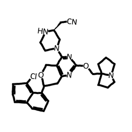 N#CC[C@H]1CN(c2nc(OCC34CCCN3CCC4)nc3c2COC(c2cccc4cccc(Cl)c24)C3)CCN1